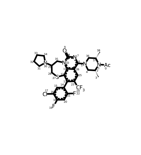 CC(=O)N1[C@H](C)CN(c2nc(=O)n3c4c(c(-c5cc(Cl)c(F)cc5F)c(C(F)(F)F)cc24)SCC(N2CCCC2)C3)C[C@@H]1C